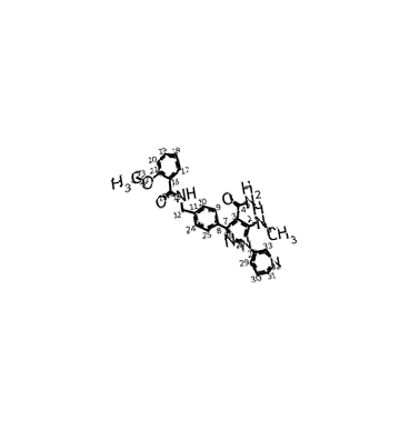 CNc1c(C(N)=O)c(-c2ccc(CNC(=O)c3ccccc3OC)cc2)nn1-c1cccnc1